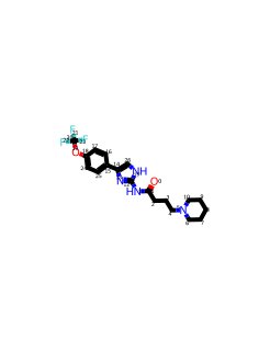 O=C(CCCN1CCCCC1)Nc1nc(-c2ccc(OC(F)(F)F)cc2)c[nH]1